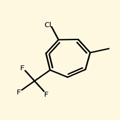 CC1=CC(Cl)=C=C(C(F)(F)F)C=C1